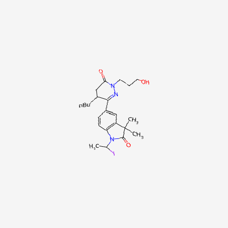 CCCCC1CC(=O)N(CCCO)N=C1c1ccc2c(c1)C(C)(C)C(=O)N2C(C)I